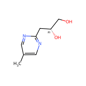 Cc1cnc(C[C@@H](O)CO)nc1